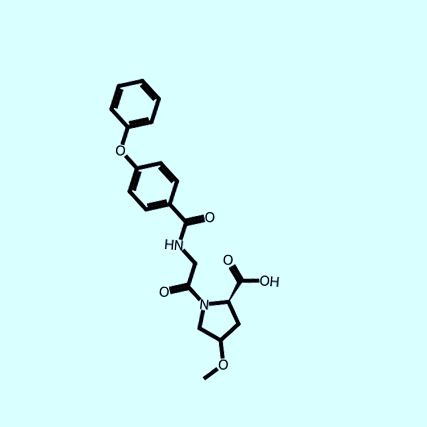 COC1C[C@H](C(=O)O)N(C(=O)CNC(=O)c2ccc(Oc3ccccc3)cc2)C1